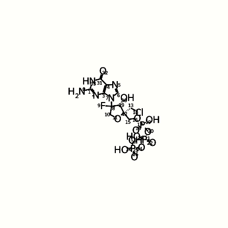 Nc1nc2c(ncn2C2(F)CO[C@](CCl)(COP(=O)(O)OP(=O)(O)OP(=O)(O)O)[C@H]2O)c(=O)[nH]1